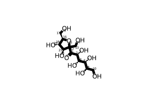 O=C([C@H](O)[C@@H](O)[C@H](O)[C@H](O)CO)C1(CO)O[C@H](CO)[C@@H](O)[C@@H]1O